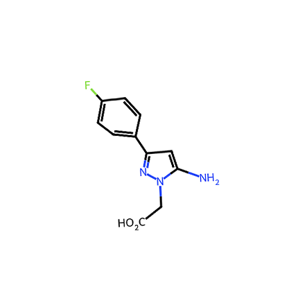 Nc1cc(-c2ccc(F)cc2)nn1CC(=O)O